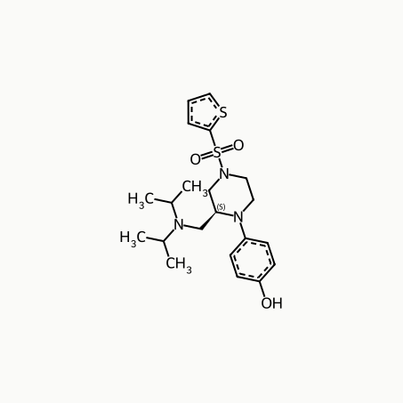 CC(C)N(C[C@H]1CN(S(=O)(=O)c2cccs2)CCN1c1ccc(O)cc1)C(C)C